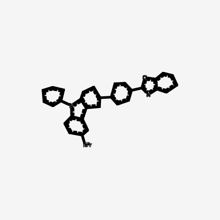 CCCc1ccc2c(c1)c1cc(-c3ccc(-c4nc5ccccc5o4)cc3)ccc1n2-c1ccccc1